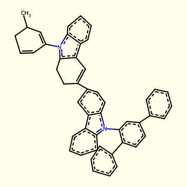 CC1C=C(n2c3c(c4ccccc42)C=C(c2ccc4c(c2)c2ccccc2n4-c2cc(-c4ccccc4)ccc2-c2ccccc2)CC3)C=CC1